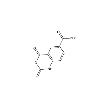 CCCC(=O)c1ccc2[nH]c(=O)oc(=O)c2c1